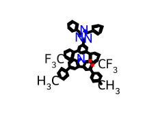 Cc1ccc(-c2ccc3c(c2)c2cc(-c4ccc(C)cc4)ccc2n3-c2c(-c3ccc(C(F)(F)F)cc3)cc(-c3nc(-c4ccccc4)nc(-c4ccccc4)n3)cc2-c2ccc(C(F)(F)F)cc2)cc1